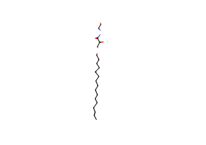 CCCCCCCCCCCCCCCCOCC(O)C(=O)[N]CCO